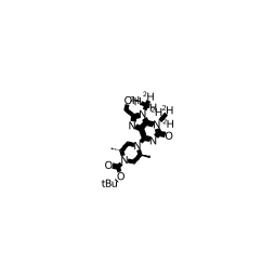 [2H]C([2H])([2H])n1c(CO)nc2c(N3C[C@@H](C)N(C(=O)OC(C)(C)C)C[C@@H]3C)nc(=O)n(C([2H])([2H])[2H])c21